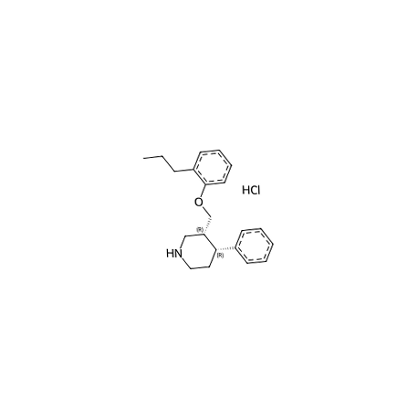 CCCc1ccccc1OC[C@H]1CNCC[C@H]1c1ccccc1.Cl